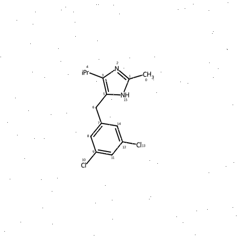 Cc1nc(C(C)C)c(Cc2cc(Cl)cc(Cl)c2)[nH]1